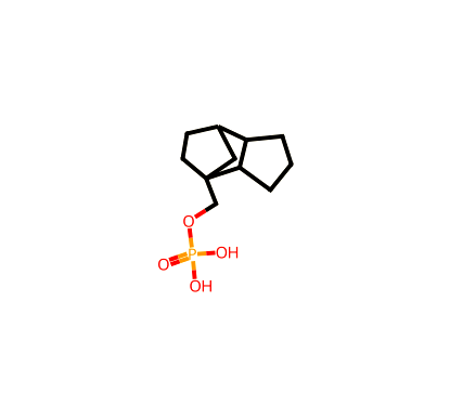 O=P(O)(O)OCC12CCC(C1)C1CCCC12